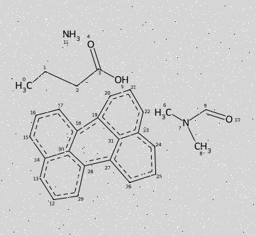 CCCC(=O)O.CN(C)C=O.N.c1cc2cccc3c4cccc5cccc(c(c1)c23)c54